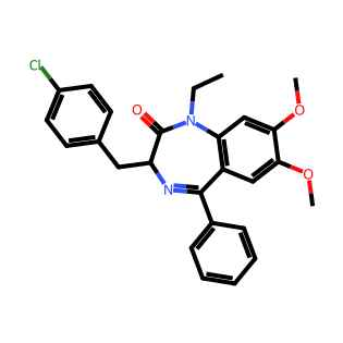 CCN1C(=O)C(Cc2ccc(Cl)cc2)N=C(c2ccccc2)c2cc(OC)c(OC)cc21